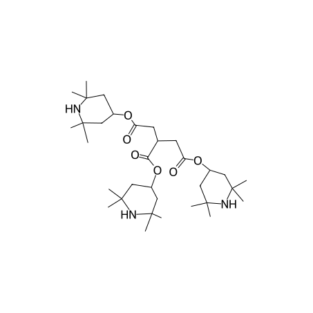 CC1(C)CC(OC(=O)CC(CC(=O)OC2CC(C)(C)NC(C)(C)C2)C(=O)OC2CC(C)(C)NC(C)(C)C2)CC(C)(C)N1